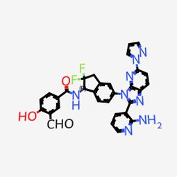 Nc1ncccc1-c1nc2ccc(-n3cccn3)nc2n1-c1ccc2c(c1)CC(F)(F)[C@@H]2NC(=O)c1ccc(O)c(C=O)c1